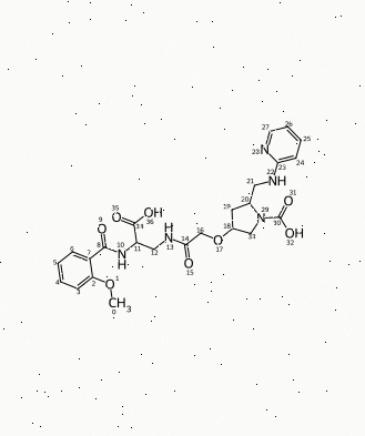 COc1ccccc1C(=O)NC(CNC(=O)COC1CC(CNc2ccccn2)N(C(=O)O)C1)C(=O)O